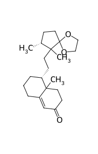 C[C@@H]1CCC2(OCCO2)C1(C)CC[C@H]1CCCC2=CC(=O)CCC21C